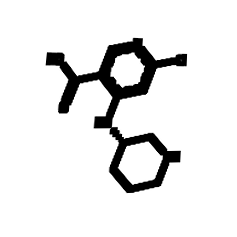 O=C(O)c1cnc(Cl)cc1N[C@H]1CCCNC1